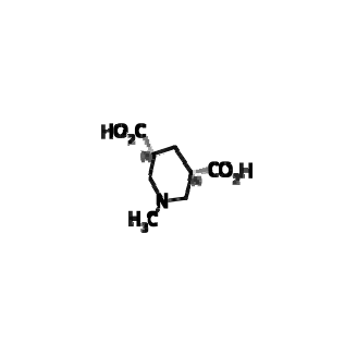 CN1C[C@H](C(=O)O)C[C@H](C(=O)O)C1